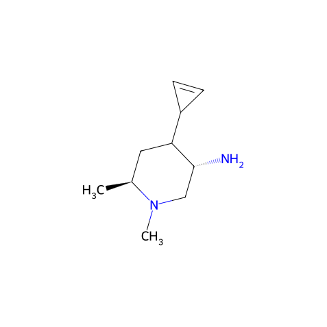 C[C@H]1CC(C2C=C2)[C@H](N)CN1C